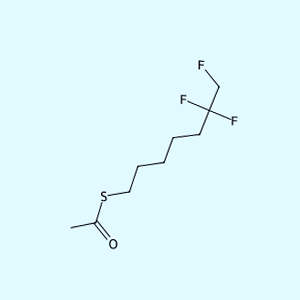 CC(=O)SCCCCCC(F)(F)CF